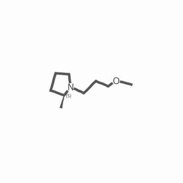 COCCCN1CCC[C@@H]1C